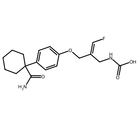 NC(=O)C1(c2ccc(OCC(=CF)CNC(=O)O)cc2)CCCCC1